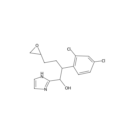 OC(c1ncc[nH]1)C(CCC1CO1)c1ccc(Cl)cc1Cl